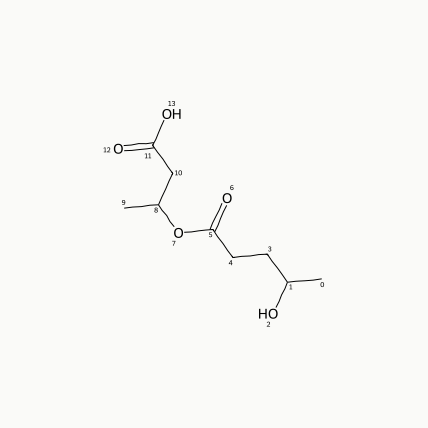 CC(O)CCC(=O)OC(C)CC(=O)O